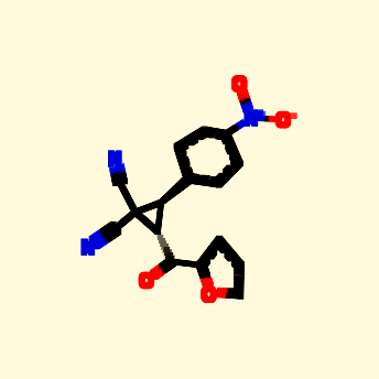 N#CC1(C#N)[C@@H](C(=O)c2ccco2)[C@@H]1c1ccc([N+](=O)[O-])cc1